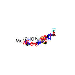 CNC(=O)C(CCC=O)N1C(=O)c2cccc(NCCOCCOCCC(=O)N3CCN(CCC(CSc4ccccc4)Nc4ccc(S(=O)(=O)NC(=O)c5ccc(N6CCN(CC7=C(C8C=C(C(F)F)C8)CC(C)(C)CC7)CC6)cc5)cc4S(=O)(=O)C(F)(F)F)CC3)c2C1=O